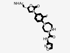 CC(=O)NC[C@H]1CN(c2ccc(N3CCNN(C(=O)Nc4ccon4)CC3)c(F)c2)C(=O)O1